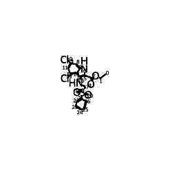 CCOC(=O)c1[nH]c2cc(Cl)cc(Cl)c2c1NCS(=O)(=O)c1ccccc1